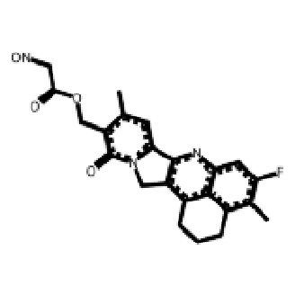 Cc1cc2n(c(=O)c1COC(=O)CN=O)Cc1c-2nc2cc(F)c(C)c3c2c1CCC3